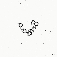 CN(Cc1cn2c(N3CCN(Cc4cccnc4)CC3)nccc2n1)C1CCCc2cccnc21